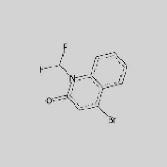 O=c1cc(Br)c2ccccc2n1C(F)F